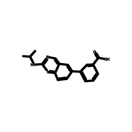 CC(C)Nc1ncc2cc(-c3cccc(C(=O)O)c3)ccc2n1